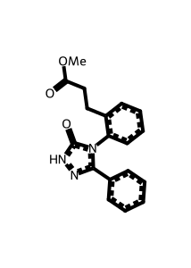 COC(=O)CCc1ccccc1-n1c(-c2ccccc2)n[nH]c1=O